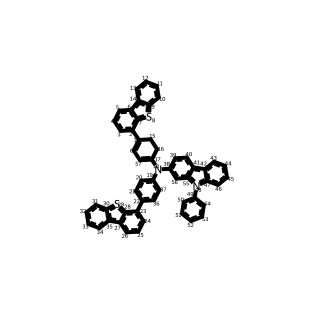 C1=C(c2cccc3c2sc2ccccc23)CCC(N(c2ccc(-c3cccc4c3sc3ccccc34)cc2)c2ccc3c4ccccc4n(-c4ccccc4)c3c2)=C1